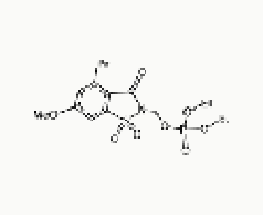 CCOP(=O)(OCC)OCN1C(=O)c2c(C(C)C)cc(OC)cc2S1(=O)=O